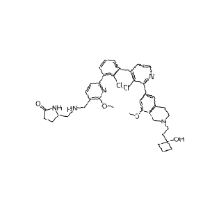 COc1cc(-c2nccc(-c3cccc(-c4ccc(CNCC5CCC(=O)N5)c(OC)n4)c3Cl)c2Cl)cc2c1CN(CCC1(O)CCC1)CC2